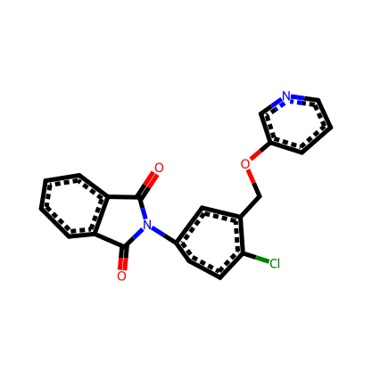 O=C1c2ccccc2C(=O)N1c1ccc(Cl)c(COc2cccnc2)c1